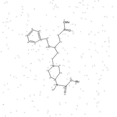 COC(=O)CCC(CCN1CCC(N(C)C(=O)OC(C)(C)C)CC1)OCc1ccccc1